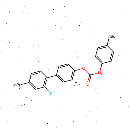 CCCCc1ccc(OC(=O)Oc2ccc(-c3ccc(CCC)cc3F)cc2)cc1